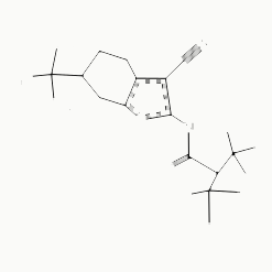 CC(C)(C)C1CCc2c(sc(NC(=O)C(C(F)(F)F)C(F)(F)F)c2C#N)C1